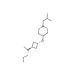 CCCN(C)[C@H]1C[C@H](OC2CCN(CC(C)C)CC2)C1